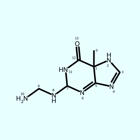 CC12NC=NC1=NC(NCN)NC2=O